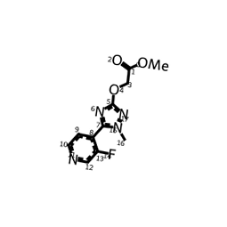 COC(=O)COc1nc(-c2ccncc2F)n(C)n1